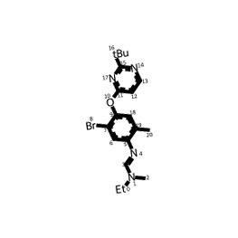 CCN(C)C=Nc1cc(Br)c(Oc2ccnc(C(C)(C)C)n2)cc1C